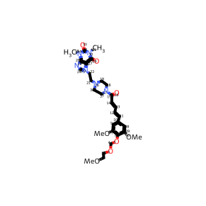 COCCOCOc1c(OC)cc(C=CC=CC(=O)N2CCN(CCn3cnc4c3c(=O)n(C)c(=O)n4C)CC2)cc1OC